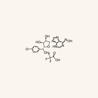 O=C(O)C(F)(F)F.ON=c1nc[nH]c2c1ncn2[C@@H]1O[C@H](C(O)c2ccc(Cl)cc2)[C@@H](O)[C@H]1O